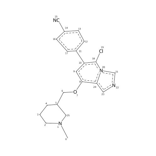 CN1CCCC(COc2cc(-c3ccc(C#N)cc3)c(Cl)n3cncc23)C1